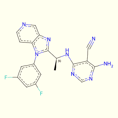 C[C@H](Nc1ncnc(N)c1C#N)c1nc2cnccc2n1-c1cc(F)cc(F)c1